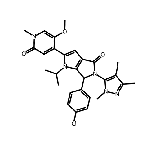 COc1cn(C)c(=O)cc1-c1cc2c(n1C(C)C)C(c1ccc(Cl)cc1)N(c1c(F)c(C)nn1C)C2=O